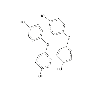 Oc1ccc(Oc2ccc(O)cc2)cc1.Oc1ccc(Oc2ccc(O)cc2)cc1